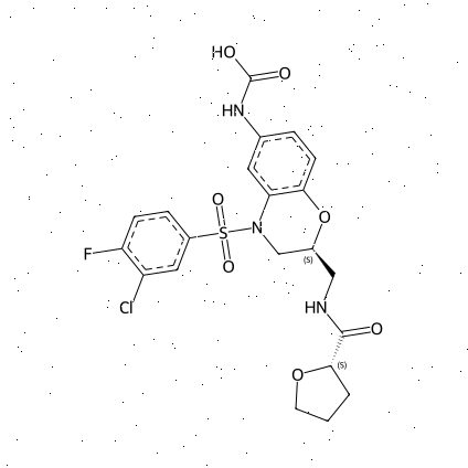 O=C(O)Nc1ccc2c(c1)N(S(=O)(=O)c1ccc(F)c(Cl)c1)C[C@H](CNC(=O)[C@@H]1CCCO1)O2